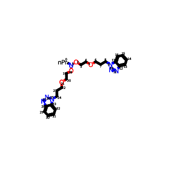 CCCN(OCCOCCCn1nnc2ccccc21)OCCOCCCn1nnc2ccccc21